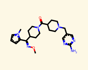 CO/N=C(/c1cccn1C)C1CCN(C(=O)C2CCN(Cc3cnc(N)nc3)CC2)CC1